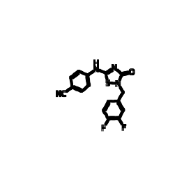 N#Cc1ccc(Nc2nc(=O)n(Cc3ccc(F)c(F)c3)s2)cc1